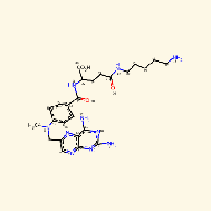 CN(Cc1cnc2nc(N)nc(N)c2n1)c1ccc(C(=O)NC(CCC(=O)NCCCCCN)C(=O)O)cc1